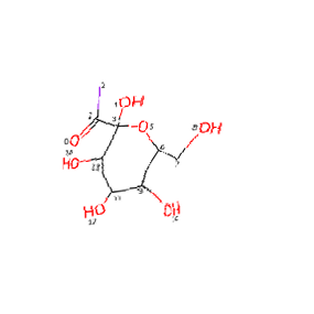 O=C(I)C1(O)OC(CO)C(O)C(O)C1O